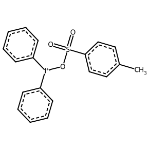 Cc1ccc(S(=O)(=O)O[I+](c2ccccc2)c2ccccc2)cc1